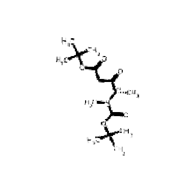 C[C@@H](C(=O)CC(=O)OC(C)(C)C)N(C)C(=O)OC(C)(C)C